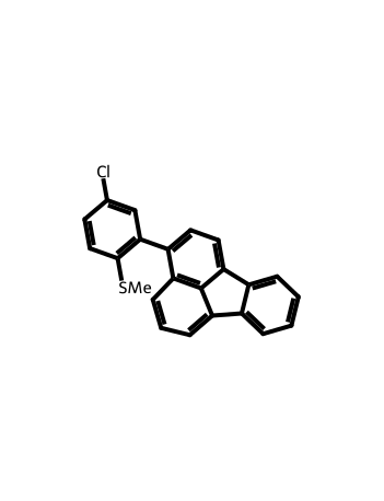 CSc1ccc(Cl)cc1-c1ccc2c3c(cccc13)-c1ccccc1-2